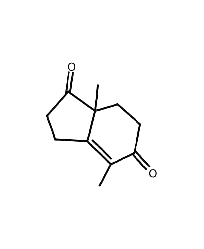 CC1=C2CCC(=O)C2(C)CCC1=O